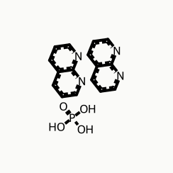 O=P(O)(O)O.c1cnc2ncccc2c1.c1cnc2ncccc2c1